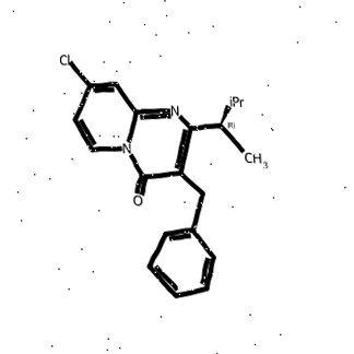 CC(C)[C@@H](C)c1nc2cc(Cl)ccn2c(=O)c1Cc1ccccc1